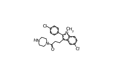 Cn1c(-c2ccc(Cl)cc2)c(CCC(=O)N2CCNCC2)c2cc(Cl)ccc21